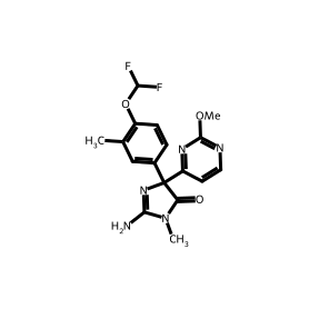 COc1nccc(C2(c3ccc(OC(F)F)c(C)c3)N=C(N)N(C)C2=O)n1